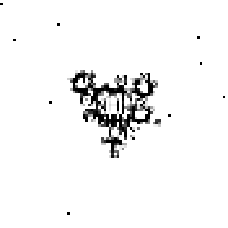 C[C@@H]1C[C@H](NC(=O)OC(C)(C)C)CN(c2ccncc2NC(=O)C=Cc2c(NC(=O)O)oc3cccnc23)C1